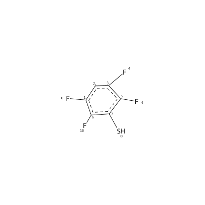 Fc1[c]c(F)c(F)c(S)c1F